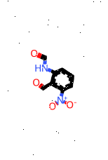 O=CNc1cccc([N+](=O)[O-])c1C=O